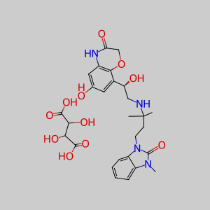 Cn1c(=O)n(CCC(C)(C)NC[C@H](O)c2cc(O)cc3c2OCC(=O)N3)c2ccccc21.O=C(O)C(O)C(O)C(=O)O